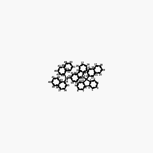 c1ccc2c(c1)-c1ccccc1C2(c1ccc2ccccc2c1)n1c2ccccc2c2cc(N(c3cccc4ccccc34)c3cccc4ccccc34)ccc21